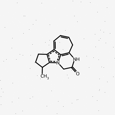 CC1CCc2c1n1c3c2=CC=CCC=3NC(=O)C1